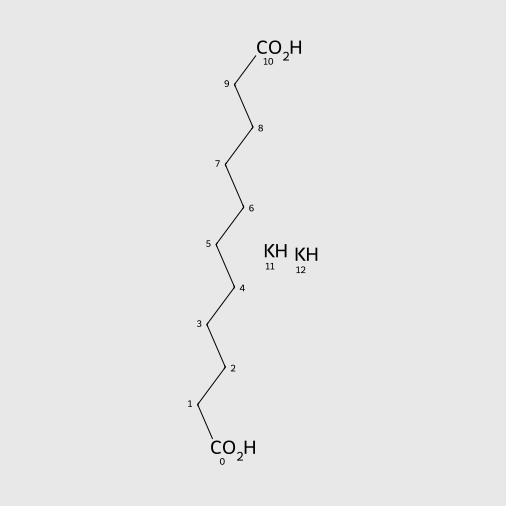 O=C(O)CCCCCCCCCC(=O)O.[KH].[KH]